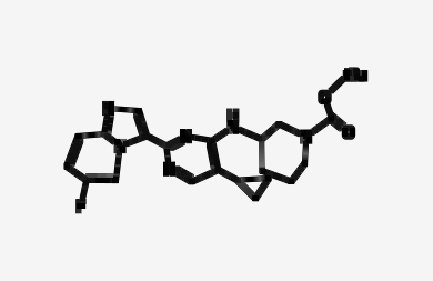 CC(C)(C)OC(=O)N1CCCC(Nc2nc(-c3cnc4ccc(F)cn34)ncc2C2CC2)C1